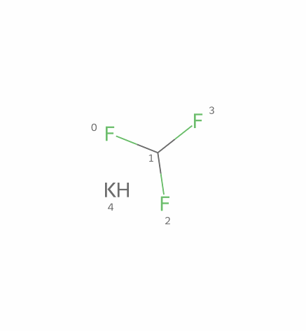 FC(F)F.[KH]